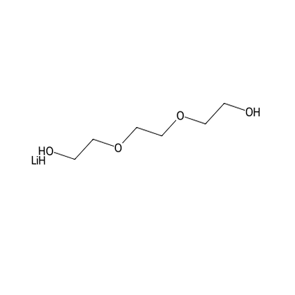 OCCOCCOCCO.[LiH]